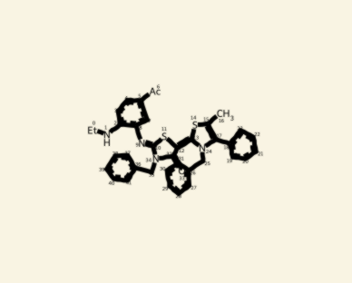 CCNc1ccc(C(C)=O)cc1N=C1SC(=C2SC(C)=C(c3ccccc3)N2Cc2ccccc2)C(=O)N1Cc1ccccc1